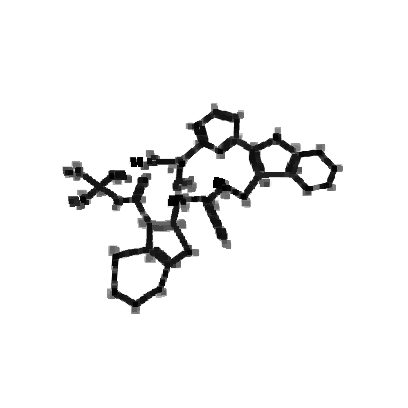 CN(C)c1cccc(-c2sc3c(c2CNC(=O)Nc2sc4c(c2C(=O)OC(C)(C)C)CCCC4)CCCC3)c1